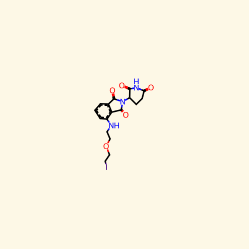 O=C1CCC(N2C(=O)c3cccc(NCCOCCI)c3C2=O)C(=O)N1